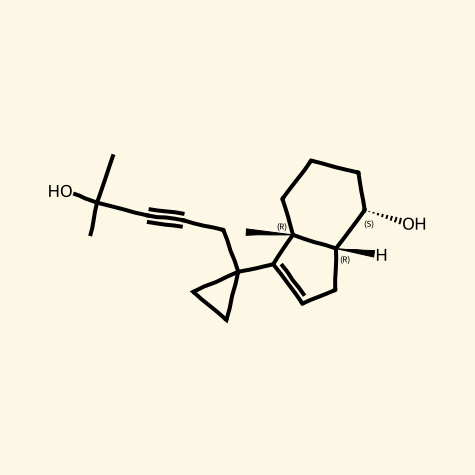 CC(C)(O)C#CCC1(C2=CC[C@H]3[C@@H](O)CCC[C@@]23C)CC1